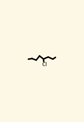 C[CH]CCC(Cl)CCC